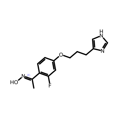 C/C(=N\O)c1ccc(OCCCc2c[nH]cn2)cc1F